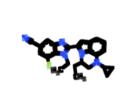 CCC1CN(C2CC2)c2cccc3cc(-c4nc5cc(C#N)cc(F)c5n4CC)n1c23